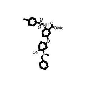 COC(=O)c1cc(Oc2ccc(N=O)c(N(C)Cc3ccccc3)c2)ccc1NS(=O)(=O)c1ccc(C)cc1